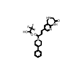 O=C(O)C(F)(F)F.O=C1CNCc2cc(/C=C/C(=O)N3CC=C(c4ccccc4)CC3)cnc2N1